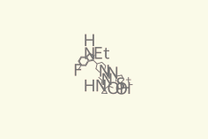 CCc1[nH]c2ccc(F)cc2c1C1CCN(C(=N/C2CC[S+]([O-])C2)/N=C(\C)NC2(CO)CC2)CC1